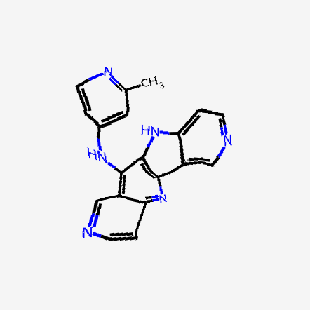 Cc1cc(Nc2c3cnccc3nc3c2[nH]c2ccncc23)ccn1